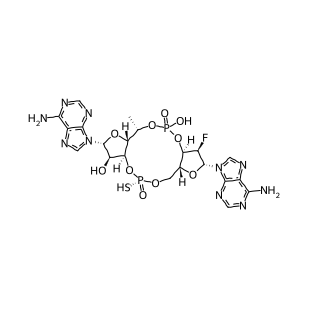 C[C@@H]1OP(=O)(O)O[C@H]2[C@@H](F)[C@H](n3cnc4c(N)ncnc43)O[C@@H]2CO[P@](=O)(S)O[C@H]2[C@@H](O)[C@H](n3cnc4c(N)ncnc43)O[C@@H]21